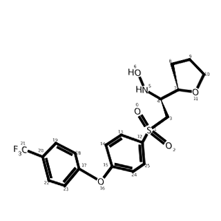 O=S(=O)(C[C@@H](NO)[C@H]1CCCO1)c1ccc(Oc2ccc(C(F)(F)F)cc2)cc1